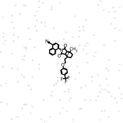 CC12CCC(CCOc3ccc(C(F)(F)F)cc3)(O1)C1C(=O)N(c3ccc(C#N)c4ccccc34)C(=O)C12